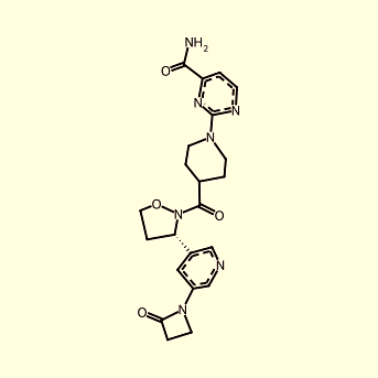 NC(=O)c1ccnc(N2CCC(C(=O)N3OCC[C@H]3c3cncc(N4CCC4=O)c3)CC2)n1